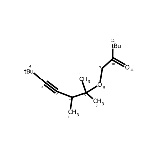 CC(C#CC(C)(C)C)C(C)(C)OCC(=O)C(C)(C)C